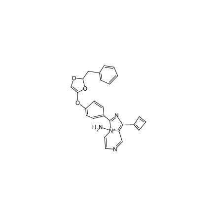 N[N+]12C=CN=CC1=C(C1=CC=C1)N=C2c1ccc(OC2=COC(Cc3ccccc3)O2)cc1